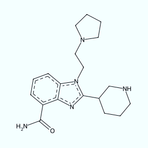 NC(=O)c1cccc2c1nc(C1CCCNC1)n2CCN1CCCC1